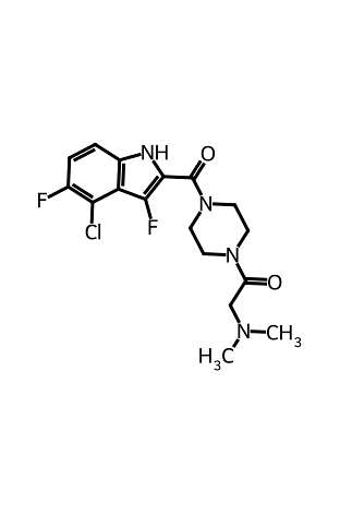 CN(C)CC(=O)N1CCN(C(=O)c2[nH]c3ccc(F)c(Cl)c3c2F)CC1